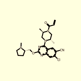 C=CC(=O)N1C[C@H](C)N(c2nc(OC[C@@H]3CCCN3C)nc3cc(Cl)c(C#N)cc23)C[C@H]1C